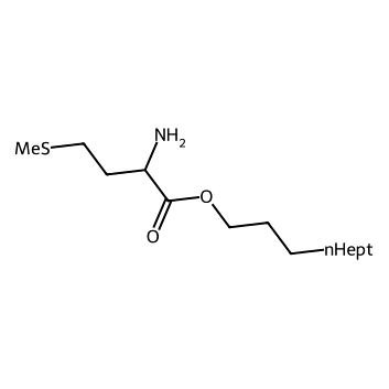 CCCCCCCCCCOC(=O)C(N)CCSC